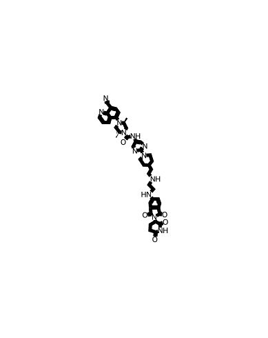 C[C@@H]1CN(c2ccc(C#N)c3ncccc23)[C@@H](C)CN1C(=O)Nc1cnc(N2CCC(CCNCCNc3ccc4c(c3)C(=O)N(C3CCC(=O)NC3=O)C4=O)CC2)nc1